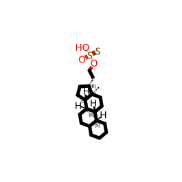 C[C@]12CC[C@H]3[C@@H](CCC4CCCC[C@@H]43)[C@@H]1CC[C@@H]2CCOS(=O)(O)=S